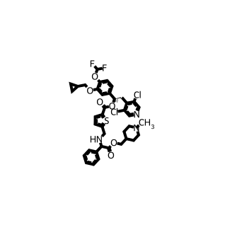 CN1CCC(COC(=O)C(NCc2ccc(C(=O)O[C@@H](Cc3c(Cl)cncc3Cl)c3ccc(OC(F)F)c(OCC4CC4)c3)s2)c2ccccc2)CC1